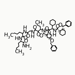 CCCCC(NC(=O)C(CCCC)NC(=O)CNC(=O)C(=O)C(CCC)NC(=O)[C@@H]1C[C@@H](OCc2ccccc2)CN1C(=O)C(NC(=O)[C@H]1CCCC[C@H]1C(=O)c1ccccc1)C1CCCCC1)C(N)=O